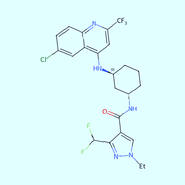 CCn1cc(C(=O)NC2CCC[C@H](Nc3cc(C(F)(F)F)nc4ccc(Cl)cc34)C2)c(C(F)F)n1